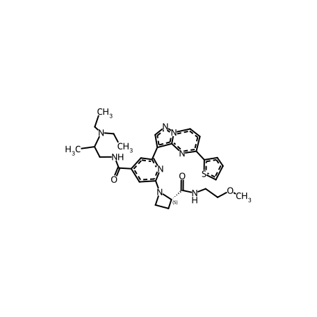 CCN(CC)C(C)CNC(=O)c1cc(-c2cnn3ccc(-c4cccs4)nc23)nc(N2CC[C@H]2C(=O)NCCOC)c1